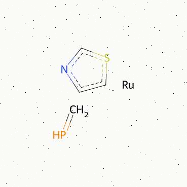 C=P.[Ru].c1cscn1